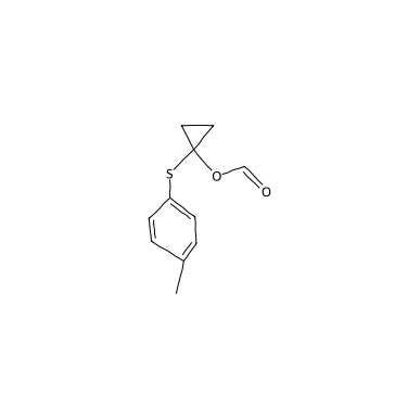 Cc1ccc(SC2(OC=O)CC2)cc1